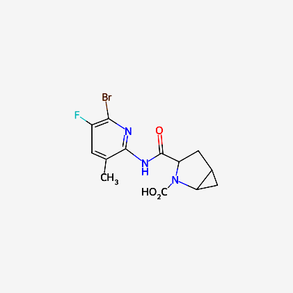 Cc1cc(F)c(Br)nc1NC(=O)C1CC2CC2N1C(=O)O